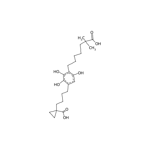 CC(C)(CCCCCc1c(O)cc(CCCCC2(C(=O)O)CC2)c(O)c1O)C(=O)O